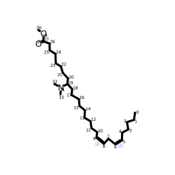 CCCCC/C=C\C/C=C\CCCCCCCCCC(CCCCCCCC(=O)OC)N(C)C